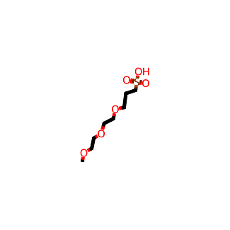 COCCOCCOCCCS(=O)(=O)O